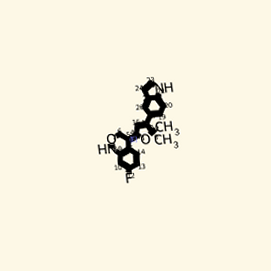 CC1(C)O/C(=C2/CONc3cc(F)ccc32)C=C1c1ccc2[nH]ccc2c1